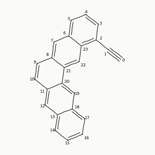 C#Cc1cccc2cc3ccc4cc5ccccc5cc4c3cc12